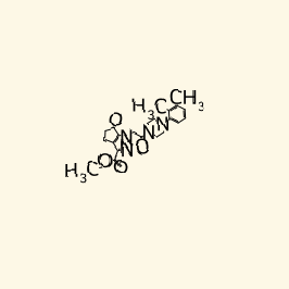 CCOC(=O)c1nn(CC(=O)N2CCN(c3cccc(C)c3C)CC2)c2c1CCC2=O